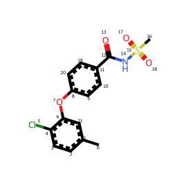 Cc1ccc(Cl)c(Oc2ccc(C(=O)NS(C)(=O)=O)cc2)c1